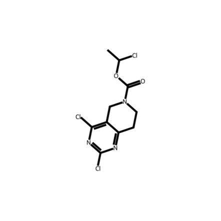 CC(Cl)OC(=O)N1CCc2nc(Cl)nc(Cl)c2C1